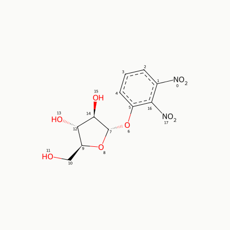 O=[N+]([O-])c1cccc(O[C@@H]2O[C@@H](CO)[C@H](O)[C@H]2O)c1[N+](=O)[O-]